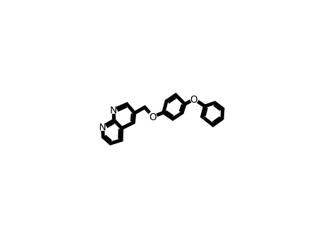 c1ccc(Oc2ccc(OCc3cnc4ncccc4c3)cc2)cc1